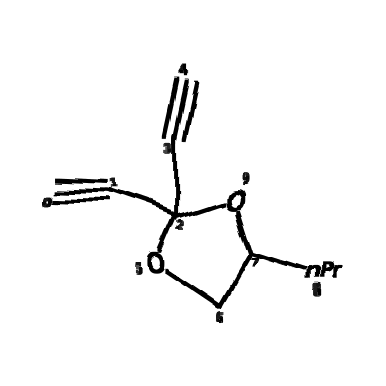 C#CC1(C#C)OCC(CCC)O1